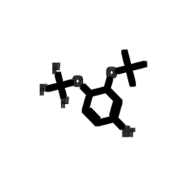 CC(C)(C)OC1C=C(Br)C=CC1OC(F)(F)F